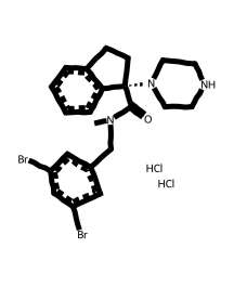 CN(Cc1cc(Br)cc(Br)c1)C(=O)[C@]1(N2CCNCC2)CCc2ccccc21.Cl.Cl